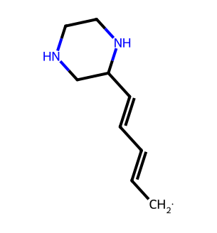 [CH2]C=CC=CC1CNCCN1